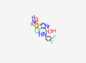 Cn1cc(S(=O)(=O)NC(C)(C)C)c(Cl)c1C(O)Nc1ccc(F)c(F)c1